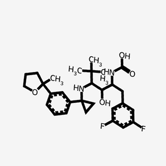 CC1(c2cccc(C3(NC(C(O)C(Cc4cc(F)cc(F)c4)NC(=O)O)C(C)(C)C)CC3)c2)CCCO1